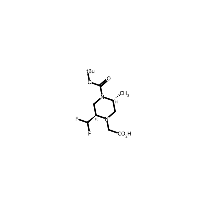 C[C@@H]1CN(CC(=O)O)[C@@H](C(F)F)CN1C(=O)OC(C)(C)C